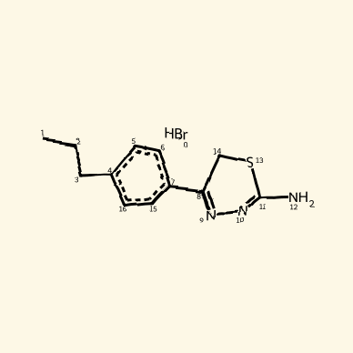 Br.CCCc1ccc(C2=NN=C(N)SC2)cc1